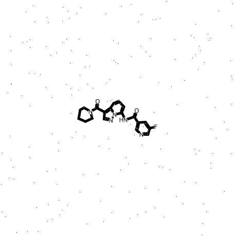 O=C(Nc1cccc2c(C(=O)N3CCCCC3)cnn12)c1cncc(F)c1